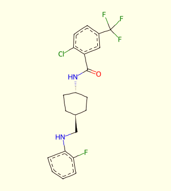 O=C(N[C@H]1CC[C@H](CNc2ccccc2F)CC1)c1cc(C(F)(F)F)ccc1Cl